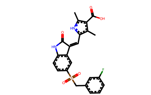 Cc1[nH]c(/C=C2\C(=O)Nc3ccc(S(=O)(=O)Cc4cccc(F)c4)cc32)c(C)c1C(=O)O